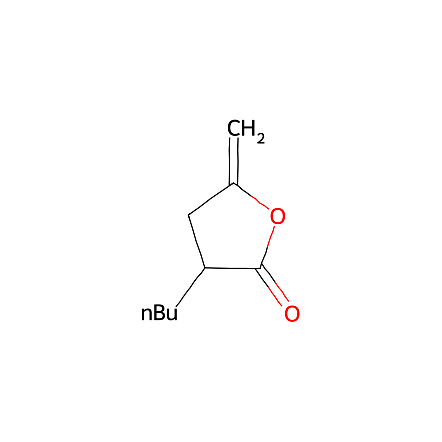 C=C1CC(CCCC)C(=O)O1